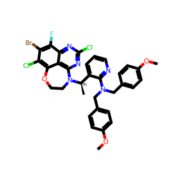 COc1ccc(CN(Cc2ccc(OC)cc2)c2ncccc2[C@@H](C)N2CCOc3c(Cl)c(Br)c(F)c4nc(Cl)nc2c34)cc1